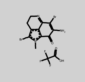 Cn1c(Br)c2c3c1C(=O)C(N)=C(Br)C3=NCC2.O=C(O)C(F)(F)F